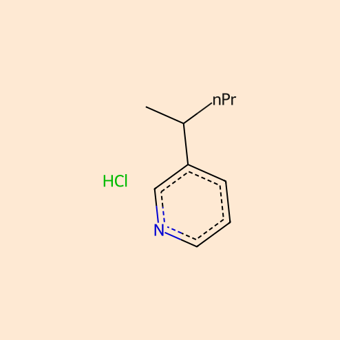 CCCC(C)c1cccnc1.Cl